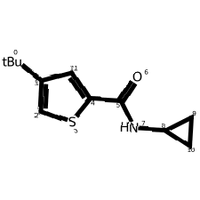 CC(C)(C)c1csc(C(=O)NC2CC2)c1